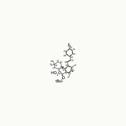 Cc1nc(C)c(C(OC(C)(C)C)C(=O)O)c(N2CCC(C)(C)CC2)c1C=Cc1ccc(F)cc1